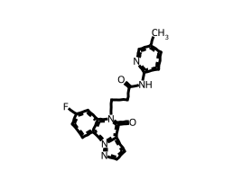 Cc1ccc(NC(=O)CCn2c(=O)c3ccnn3c3ccc(F)cc32)nc1